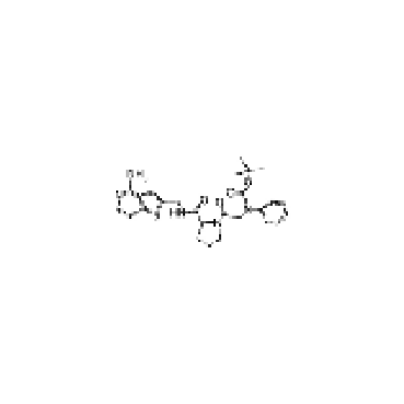 CC(C)(C)OC(=O)N(CC(=O)N1CCC[C@H]1C(=O)NCc1cc2c(N)nccc2s1)c1ccccc1